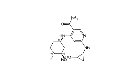 C[C@@H]1CC[C@@H](Nc2cc(NC3CC3O)ncc2C(N)=O)C[C@H]1O